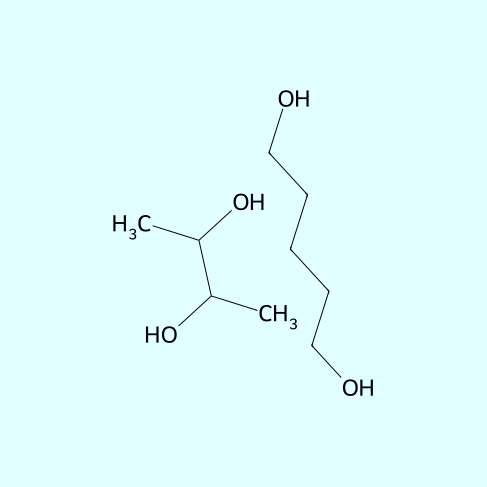 CC(O)C(C)O.OCCCCCO